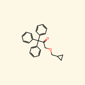 O=C(COCC1CC1)C(c1ccccc1)(c1ccccc1)c1ccccc1